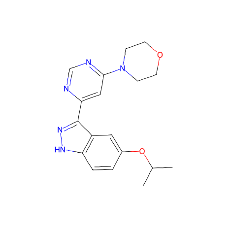 CC(C)Oc1ccc2[nH]nc(-c3cc(N4CCOCC4)ncn3)c2c1